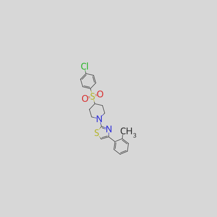 Cc1ccccc1-c1csc(N2CCC(S(=O)(=O)c3ccc(Cl)cc3)CC2)n1